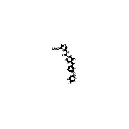 COc1cncc(NC(=O)N2CCC(=Cc3cccc(Oc4ccc(Br)cn4)c3)C(C)C2)n1